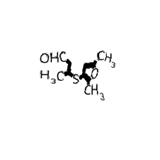 Cc1cc(SC(C)CC=O)c(C)o1